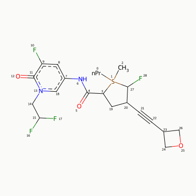 CCCS1(C)C(C(=O)Nc2cc(F)c(=O)n(CC(F)F)c2)CC(C#CC2COC2)C1F